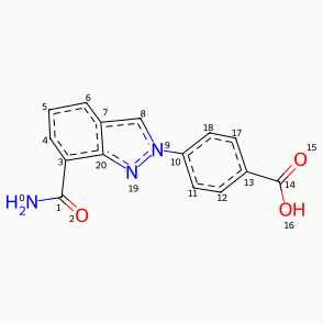 NC(=O)c1cccc2cn(-c3ccc(C(=O)O)cc3)nc12